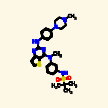 CN1CCN(c2ccc(Nc3nc(N(C)c4cccc(NS(=O)(=O)C(C)(C)C)c4)c4sccc4n3)cc2)CC1